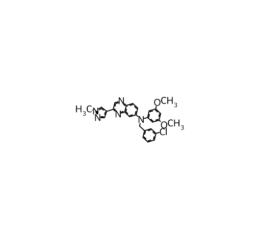 COc1cc(OC)cc(N(Cc2cccc(Cl)c2)c2ccc3ncc(-c4cnn(C)c4)nc3c2)c1